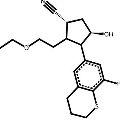 CCOCCC1C(c2cc(F)c3c(c2)CCCS3)[C@H](O)C[C@H]1C#N